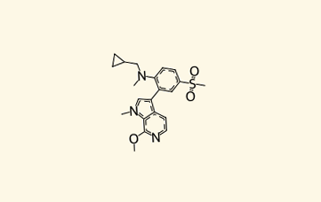 COc1nccc2c(-c3cc(S(C)(=O)=O)ccc3N(C)CC3CC3)cn(C)c12